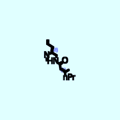 C=C/C=C(/CNC(=O)/C=C(\C)CCC)N=C